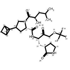 CC(C)C[C@@H](O)C(=O)N1CC(C2C3CC2C3)C[C@H]1C(=O)N[C@@H](C[C@@H]1CCNC1=O)C(=O)COC(F)(F)F